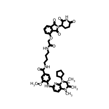 C=C1[C@@H](C)N(C2CCCC2)c2nc(Nc3ccc(C(=O)NCCCCNC(=O)COc4cccc5c4C(=O)N(C4CCC(=O)NC4=O)C5=O)cc3OC)ccc2N1C